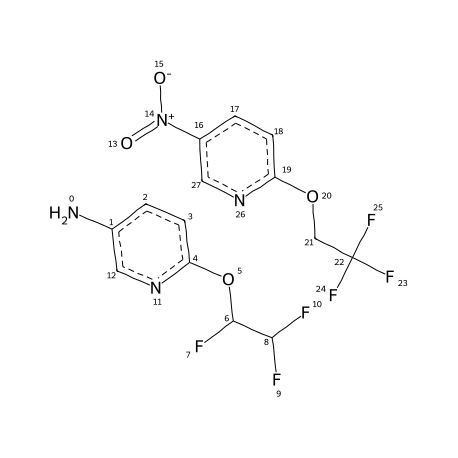 Nc1ccc(OC(F)C(F)F)nc1.O=[N+]([O-])c1ccc(OCC(F)(F)F)nc1